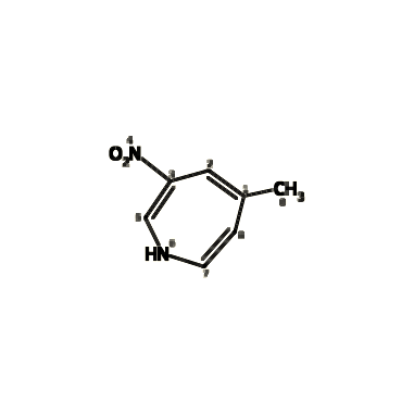 CC1=CC([N+](=O)[O-])=CNC=C1